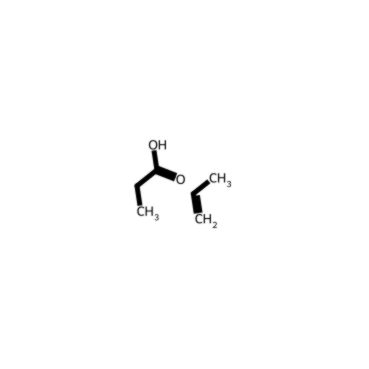 C=CC.CCC(=O)O